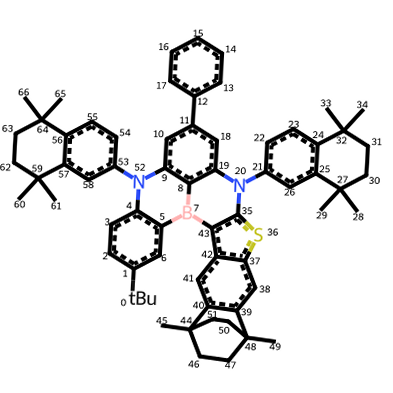 CC(C)(C)c1ccc2c(c1)B1c3c(cc(-c4ccccc4)cc3N(c3ccc4c(c3)C(C)(C)CCC4(C)C)c3sc4cc5c(cc4c31)C1(C)CCC5(C)CC1)N2c1ccc2c(c1)C(C)(C)CCC2(C)C